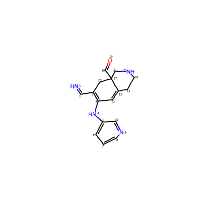 N=CC1=C(Nc2cccnc2)C=C2CCNCC2(C=O)C1